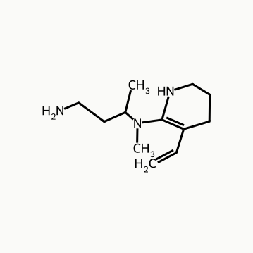 C=CC1=C(N(C)C(C)CCN)NCCC1